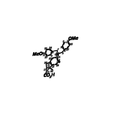 COc1ccc(CN(Cc2ccc(OC)cc2)c2cc3c(cn2)C2(C)C(C3)C2C(=O)O)cc1